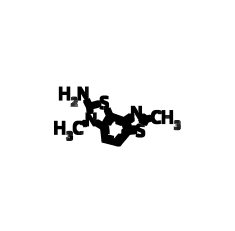 Cc1nc2c3c(ccc2s1)N(C)C(N)S3